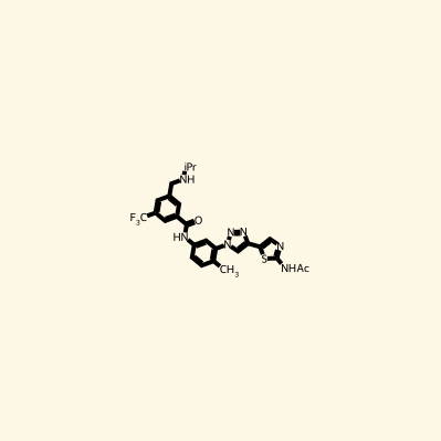 CC(=O)Nc1ncc(-c2cn(-c3cc(NC(=O)c4cc(CNC(C)C)cc(C(F)(F)F)c4)ccc3C)nn2)s1